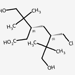 CC(C)(CO)[C@@H](CCl)C[C@H](CC(=O)O)C(C)(C)CO